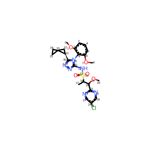 COc1cccc(OC)c1-n1c(NS(=O)(=O)C(C)C(OC)c2ncc(Cl)cn2)nnc1[C@@H]1CC12CC2